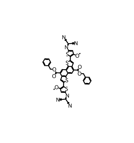 COc1cc(N=C(C#N)C#N)sc1-c1cc2c(C(=O)OCc3ccccc3)cc3c(cc(C(=O)OCc4ccccc4)c4cc(-c5sc(N=C(C#N)C#N)cc5OC)sc43)c2s1